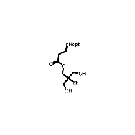 CCCCCCCCCC(=O)OCC(CC)(CO)CO